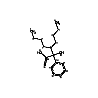 CCCCC(CCCC)C(O)(C(=O)O)c1ccccc1